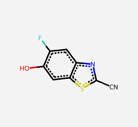 N#Cc1nc2cc(F)c(O)cc2s1